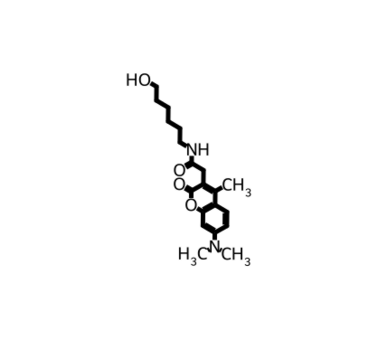 Cc1c(CC(=O)NCCCCCCO)c(=O)oc2cc(N(C)C)ccc12